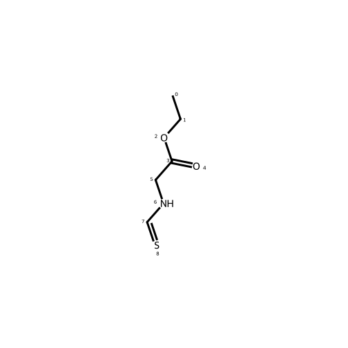 CCOC(=O)CNC=S